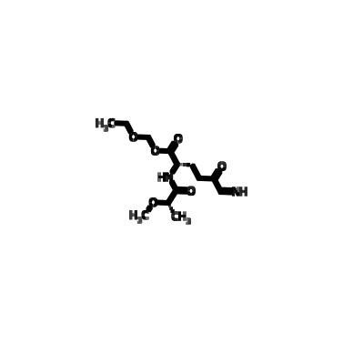 CCOCOC(=O)[C@H](CCC(=O)C=N)NC(=O)[C@H](C)OC